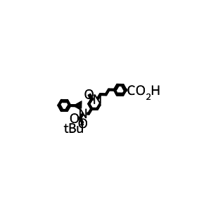 CC(C)(C)OC(=O)N(CC1CCN(CCCc2ccc(C(=O)O)cc2)C(=O)C1)C1CC1c1ccccc1